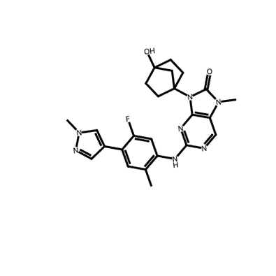 Cc1cc(-c2cnn(C)c2)c(F)cc1Nc1ncc2c(n1)n(C13CCC(O)(CC1)C3)c(=O)n2C